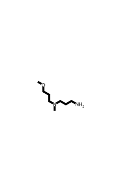 COCCCN(C)CCCN